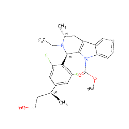 C[C@@H]1Cc2c(n(C(=O)OC(C)(C)C)c3ccccc23)[C@@H](c2c(F)cc([C@@H](C)CCO)cc2F)N1CC(F)(F)F